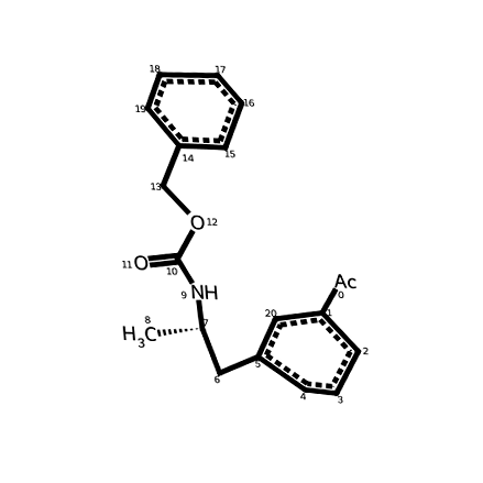 CC(=O)c1cccc(C[C@H](C)NC(=O)OCc2ccccc2)c1